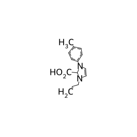 C=CCN1C=CN(c2ccc(C)cc2)C1C(=O)O